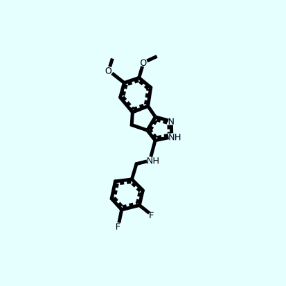 COc1cc2c(cc1OC)-c1n[nH]c(NCc3ccc(F)c(F)c3)c1C2